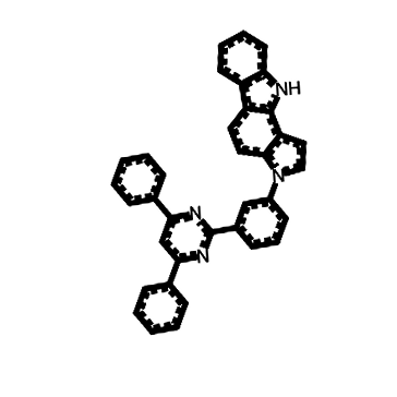 c1ccc(-c2cc(-c3ccccc3)nc(-c3cccc(-n4ccc5c6[nH]c7ccccc7c6ccc54)c3)n2)cc1